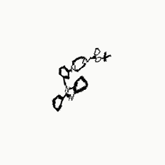 CC(C)(C)OC(=O)N1CCN(c2cccc(Cn3c(-c4ccccc4)nc4ccccc43)c2)CC1